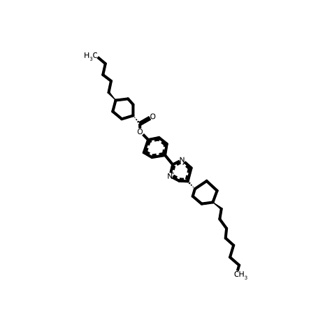 CCCCCCCC[C@H]1CC[C@H](c2cnc(-c3ccc(OC(=O)[C@H]4CC[C@H](CCCCC)CC4)cc3)nc2)CC1